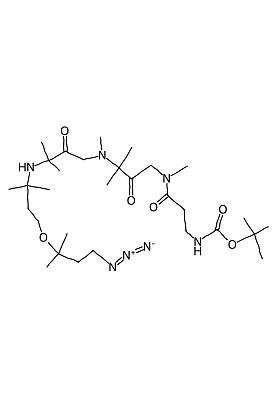 CN(CC(=O)C(C)(C)N(C)CC(=O)C(C)(C)NC(C)(C)CCOC(C)(C)CCN=[N+]=[N-])C(=O)CCNC(=O)OC(C)(C)C